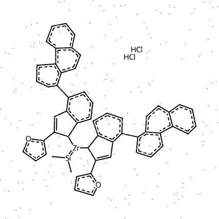 C[Si](C)=[Zr]([CH]1C(c2ccco2)=Cc2c(-c3cccc4c3ccc3ccccc34)cccc21)[CH]1C(c2ccco2)=Cc2c(-c3cccc4c3ccc3ccccc34)cccc21.Cl.Cl